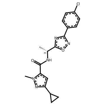 C[C@@H](NC(=O)c1cc(C2CC2)nn1C)c1nc(-c2ccc(Cl)cc2)no1